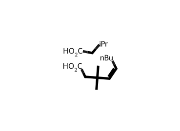 CC(C)CC(=O)O.CCCC/C=C\C(C)(C)CC(=O)O